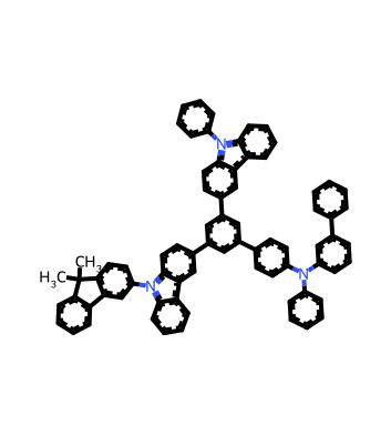 CC1(C)c2ccccc2-c2cc(-n3c4ccccc4c4cc(-c5cc(-c6ccc(N(c7ccccc7)c7cccc(-c8ccccc8)c7)cc6)cc(-c6ccc7c(c6)c6ccccc6n7-c6ccccc6)c5)ccc43)ccc21